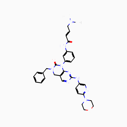 CN(C)C/C=C/C(=O)Nc1cccc(N2C(=O)N(Cc3ccccc3)Cc3cnc(Nc4ccc(N5CCOCC5)nc4)nc32)c1